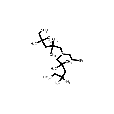 CC(C)CCN(CC(C)(C)CC(C)(C)CS(=O)(=O)O)CC(C)(C)CC(C)(N)CS(=O)(=O)O